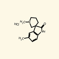 Cc1ccc2c(c1)C1(CCCN(C)C1)C(=O)N2.Cl